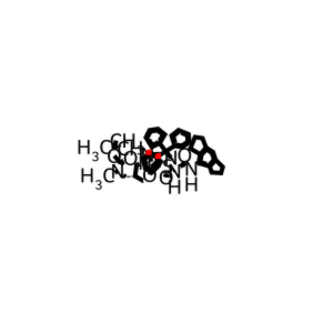 CN(C[C@H]1COc2c([S@@](=O)(=NC(c3ccccc3)(c3ccccc3)c3ccccc3)NC(=O)Nc3c4c(cc5c3CCC5)CCC4)cnn2C1)C(=O)OC(C)(C)C